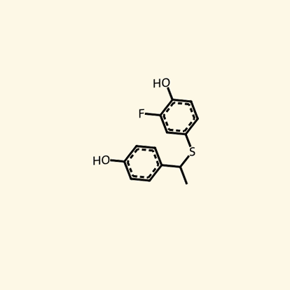 CC(Sc1ccc(O)c(F)c1)c1ccc(O)cc1